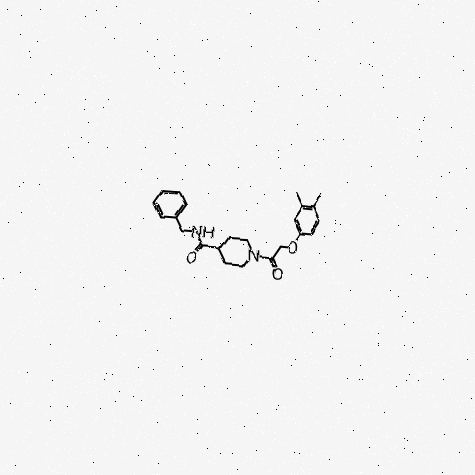 Cc1ccc(OCC(=O)N2CCC(C(=O)NCc3ccccc3)CC2)cc1C